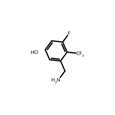 Cl.NCc1cccc(F)c1C(F)(F)F